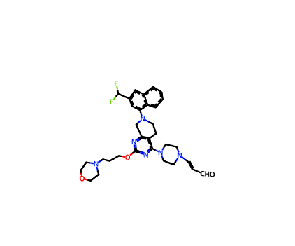 O=CC=CN1CCN(c2nc(OCCCN3CCOCC3)nc3c2CCN(c2cc(C(F)F)cc4ccccc24)C3)CC1